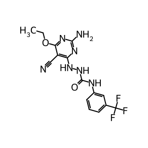 CCOc1nc(N)nc(NNC(=O)Nc2cccc(C(F)(F)F)c2)c1C#N